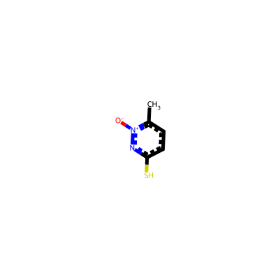 Cc1ccc(S)n[n+]1[O-]